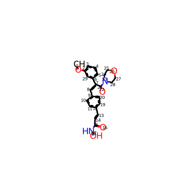 COc1cccc(C(=Cc2ccc(C=CC(=O)NO)cc2)C(=O)N2CCOCC2)c1